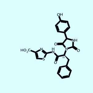 O=C(O)c1csc(NC(=O)[C@H](Cc2ccccc2)N2C(=O)NC(c3ccc(O)cc3)C2=O)n1